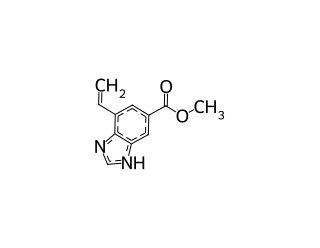 C=Cc1cc(C(=O)OC)cc2[nH]cnc12